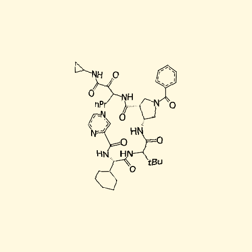 CCCC(NC(=O)[C@@H]1CN(C(=O)c2ccccc2)C[C@@H]1NC(=O)C(NC(=O)[C@@H](NC(=O)c1cnccn1)C1CCCCC1)C(C)(C)C)C(=O)C(=O)NC1CC1